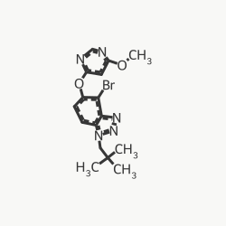 COc1cc(Oc2ccc3c(nnn3CC(C)(C)C)c2Br)ncn1